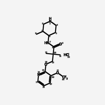 CC1CNCCC1NC(=O)C(C)(C)COc1ncccc1OC(F)(F)F.Cl